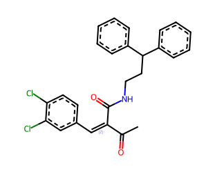 CC(=O)/C(=C/c1ccc(Cl)c(Cl)c1)C(=O)NCCC(c1ccccc1)c1ccccc1